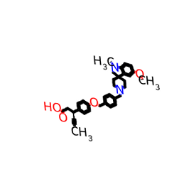 CC#C[C@@H](CC(=O)O)c1ccc(OCc2ccc(CN3CCC4(CC3)CN(C)c3ccc(OC)cc34)cc2)cc1